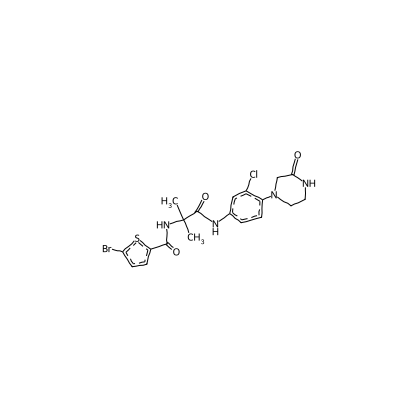 CC(C)(NC(=O)c1ccc(Br)s1)C(=O)Nc1ccc(N2CCNC(=O)C2)c(Cl)c1